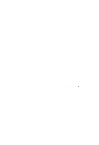 CCCc1c(CCC(=O)N(C)C)sc2ccccc12.Cl